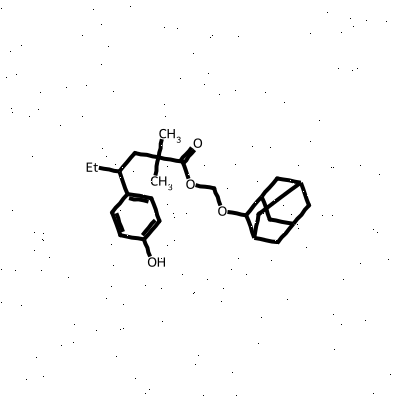 CCC(CC(C)(C)C(=O)OCOC1C2CC3CC(C2)CC1C3)c1ccc(O)cc1